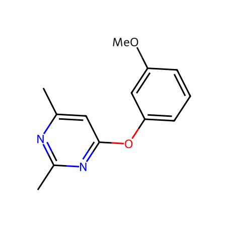 COc1cccc(Oc2cc(C)nc(C)n2)c1